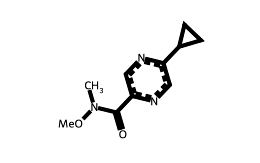 CON(C)C(=O)c1cnc(C2CC2)cn1